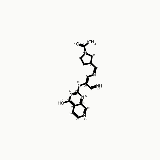 CC(=O)N1CCC(/C=N\C=C(/C=N)Oc2nc(O)c3ccncc3n2)C1